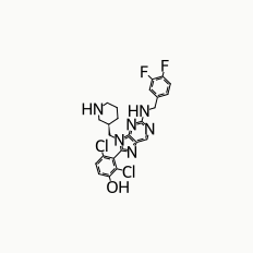 Oc1ccc(Cl)c(-c2nc3cnc(NCc4ccc(F)c(F)c4)nc3n2C[C@@H]2CCCNC2)c1Cl